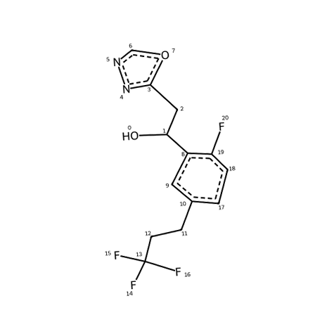 OC(Cc1nnco1)c1cc(CCC(F)(F)F)ccc1F